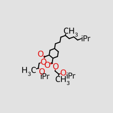 CC(C)CCCC(C)CCCC1CCC(C(=O)OCC(C)OC(C)C)C(C(=O)OCC(C)OC(C)C)C1